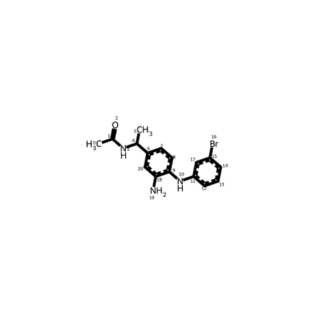 CC(=O)NC(C)c1ccc(Nc2cccc(Br)c2)c(N)c1